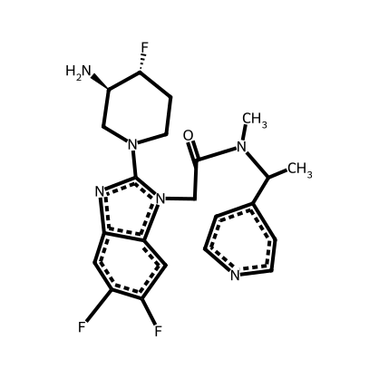 CC(c1ccncc1)N(C)C(=O)Cn1c(N2CC[C@@H](F)[C@H](N)C2)nc2cc(F)c(F)cc21